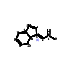 CN/C=C1\C=NC2=CC=CCC21